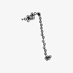 O=C(CCOCCOCCOCCOCCOCCOCCOCCOCCOCCOCCOCCOCCn1cc(-c2cccc(NC(=O)N3CCC4(CC3)NC(=O)N(c3ccc(C5CC5)cc3)C4=O)c2)nn1)ON1C(=O)CCC1=O